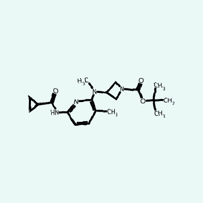 Cc1ccc(NC(=O)C2CC2)nc1N(C)C1CN(C(=O)OC(C)(C)C)C1